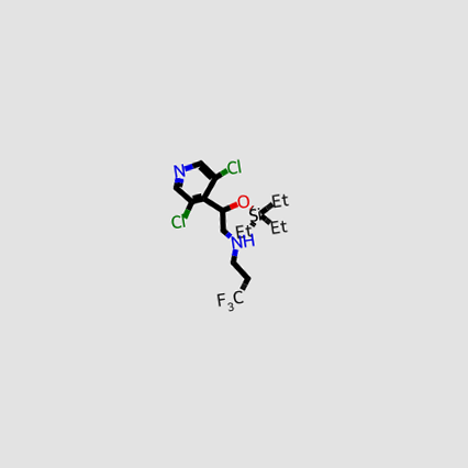 CC[Si](CC)(CC)OC(CNCCC(F)(F)F)c1c(Cl)cncc1Cl